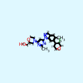 Cc1nc(N2CCO[C@H](CO)C2)cc(-n2ncc3cc(C)c(C4CCOCC4F)cc32)n1